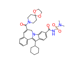 CN(C)S(=O)(=O)NC(=O)c1ccc2c(C3CCCCC3)c3n(c2c1)CC(C(=O)N1CCC2(CC1)OCCO2)=Cc1ccccc1-3